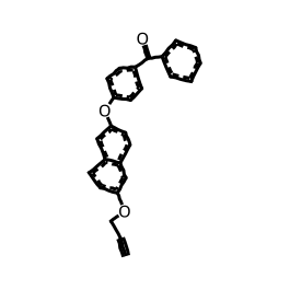 C#CCOc1ccc2cc(Oc3ccc(C(=O)c4ccccc4)cc3)ccc2c1